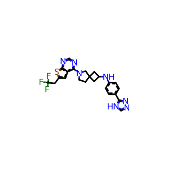 FC(F)(F)Cc1cc2c(N3CCC4(CC(Nc5ccc(-c6nnc[nH]6)cc5)C4)C3)ncnc2s1